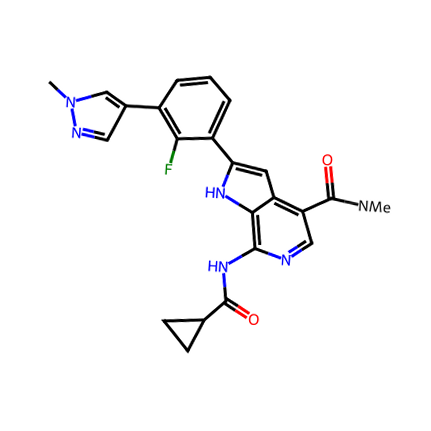 CNC(=O)c1cnc(NC(=O)C2CC2)c2[nH]c(-c3cccc(-c4cnn(C)c4)c3F)cc12